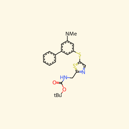 CNc1cc(Sc2cnc(CNC(=O)OC(C)(C)C)s2)cc(-c2ccccc2)c1